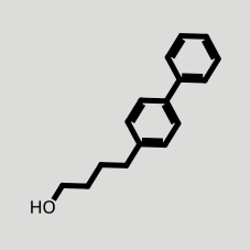 OCCCCc1ccc(-c2ccccc2)cc1